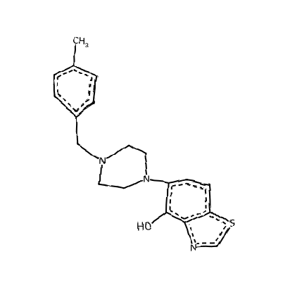 Cc1ccc(CN2CCN(c3ccc4scnc4c3O)CC2)cc1